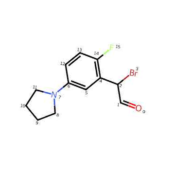 O=CC(Br)c1cc(N2CCCC2)ccc1F